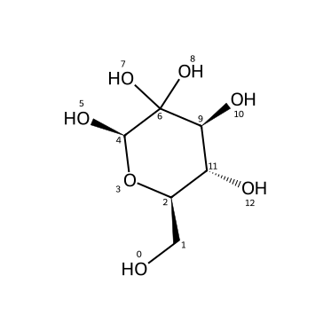 OC[C@H]1O[C@@H](O)C(O)(O)[C@@H](O)[C@@H]1O